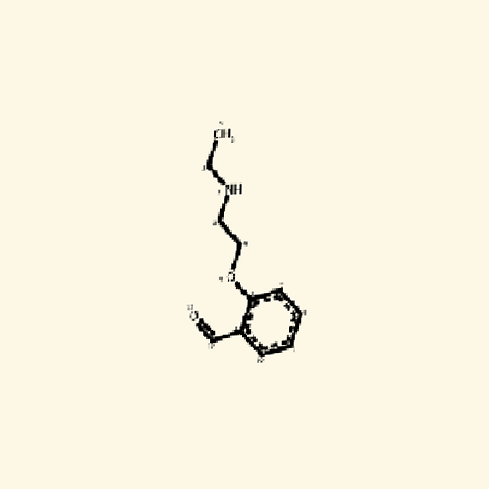 CCNCCOc1ccccc1C=O